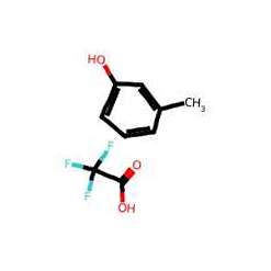 Cc1cccc(O)c1.O=C(O)C(F)(F)F